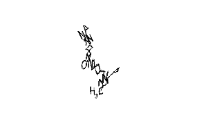 Cc1cc(C2CC2)n(CC2CC3(C2)CN(C(=O)N2CC4(CC(n5cnc(C6CC6)n5)C4)C2)C3)n1